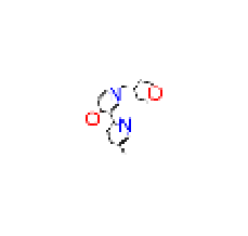 Cc1ccc(-c2cn(CC3CCOCC3)ccc2=O)nc1